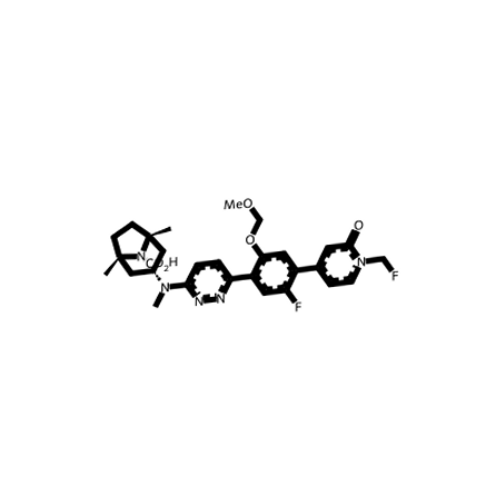 COCOc1cc(-c2ccn(CF)c(=O)c2)c(F)cc1-c1ccc(N(C)[C@@H]2C[C@]3(C)CC[C@](C)(C2)N3C(=O)O)nn1